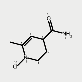 CC1=CC(C(N)=O)CCN1Cl